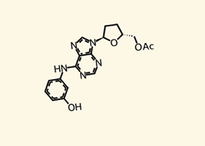 CC(=O)OC[C@H]1CC[C@H](n2cnc3c(Nc4cccc(O)c4)ncnc32)O1